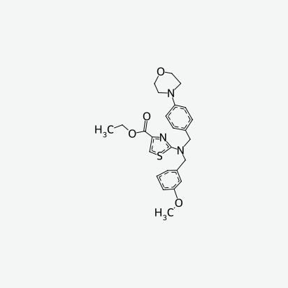 CCOC(=O)c1csc(N(Cc2ccc(N3CCOCC3)cc2)Cc2cccc(OC)c2)n1